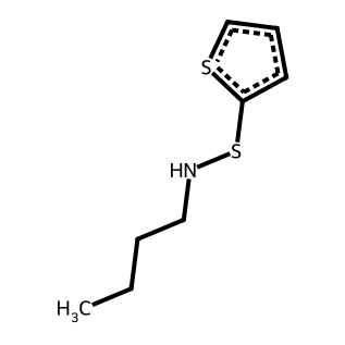 CCCCNSc1cccs1